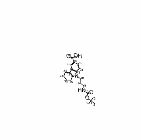 CC(C)(C)OC(=O)NCCCn1c2c(c3cc(C(=O)O)ccc31)CCCC2